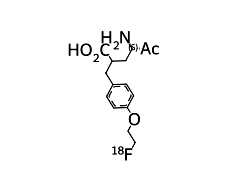 CC(=O)[C@@H](N)CC(Cc1ccc(OCC[18F])cc1)C(=O)O